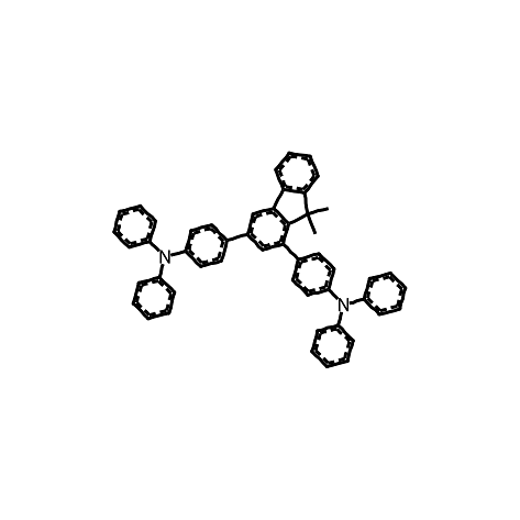 CC1(C)c2ccccc2-c2cc(-c3ccc(N(c4ccccc4)c4ccccc4)cc3)cc(-c3ccc(N(c4ccccc4)c4ccccc4)cc3)c21